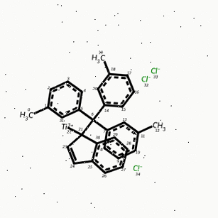 Cc1cccc(C(c2cccc(C)c2)(c2cccc(C)c2)[C]2([Ti+3])C=Cc3ccccc32)c1.[Cl-].[Cl-].[Cl-]